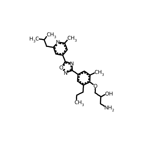 CCCc1cc(-c2noc(-c3cc(C)nc(CC(C)C)c3)n2)cc(C)c1OCC(O)CN